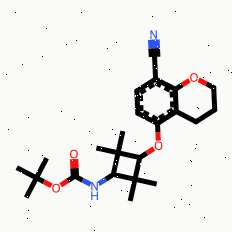 CC(C)(C)OC(=O)NC1C(C)(C)C(Oc2ccc(C#N)c3c2CCCO3)C1(C)C